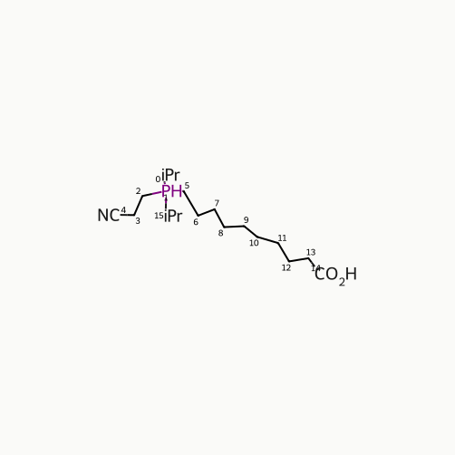 CC(C)[PH](CCC#N)(CCCCCCCCCC(=O)O)C(C)C